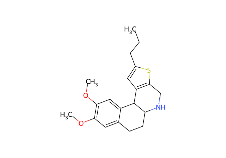 CCCc1cc2c(s1)CNC1CCc3cc(OC)c(OC)cc3C21